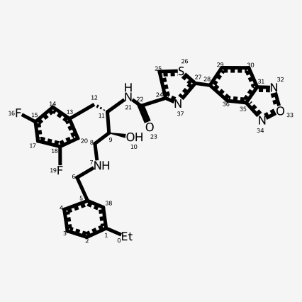 CCc1cccc(CNC[C@H](O)[C@H](Cc2cc(F)cc(F)c2)NC(=O)c2csc(-c3ccc4nonc4c3)n2)c1